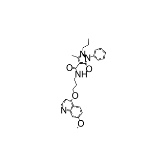 CCCn1c(C)c(C(=O)NCCCOc2ccnc3cc(OC)ccc23)c(=O)n1-c1ccccc1